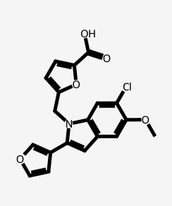 COc1cc2cc(-c3ccoc3)n(Cc3ccc(C(=O)O)o3)c2cc1Cl